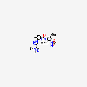 COc1c(NC(=O)c2ccc(C)c(-n3cc(-c4cnc(C)n4C4CC4)nn3)c2)cc(C(C)(C)C)cc1NS(C)(=O)=O